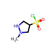 CN1CC(S(=O)(=O)Cl)CN1